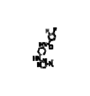 CN(C)c1ccnc(NC2CCC(NC(=O)c3ccc(F)c(F)c3)CC2)n1